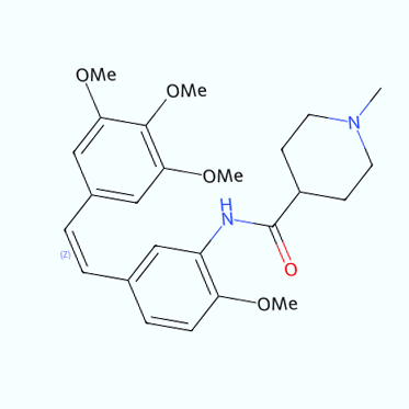 COc1ccc(/C=C\c2cc(OC)c(OC)c(OC)c2)cc1NC(=O)C1CCN(C)CC1